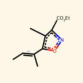 C/C=C(\C)c1onc(C(=O)OCC)c1C